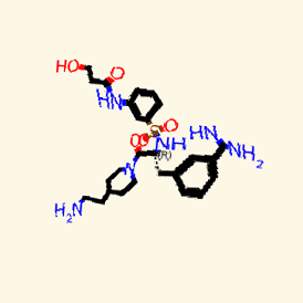 N=C(N)c1cccc(C[C@@H](NS(=O)(=O)c2cccc(NC(=O)CCO)c2)C(=O)N2CCC(CCN)CC2)c1